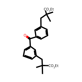 CCOC(=O)C(C)(C)Cc1cccc(C(=O)c2cccc(CC(C)(C)C(=O)OCC)c2)c1